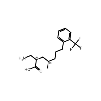 C[C@H](CCCc1ccccc1C(F)(F)F)C[C@H](CN)C(=O)O